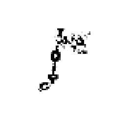 COCCN(C(=O)[C@@H]1C[C@H](F)CN1C(=O)O)[C@@H]1C[C@H](C(=O)NCc2ccc(C#Cc3ccc(CN4CCOCC4)cc3)cc2)N(C(=O)C2CC2)C1